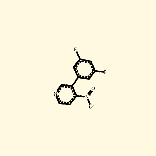 O=[N+]([O-])c1ccncc1-c1cc(F)cc(F)c1